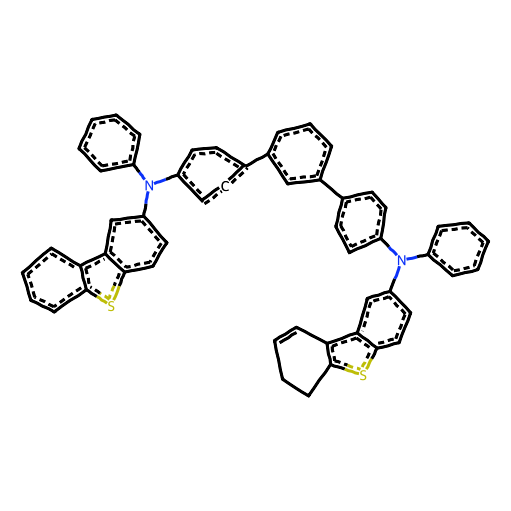 C1=Cc2c(sc3ccc(N(c4ccccc4)c4ccc(-c5cccc(-c6ccc(N(c7ccccc7)c7ccc8sc9ccccc9c8c7)cc6)c5)cc4)cc23)CC1